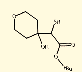 CC(C)(C)OC(=O)C(S)C1(O)CCOCC1